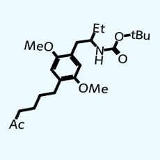 CCC(Cc1cc(OC)c(CCCCC(C)=O)cc1OC)NC(=O)OC(C)(C)C